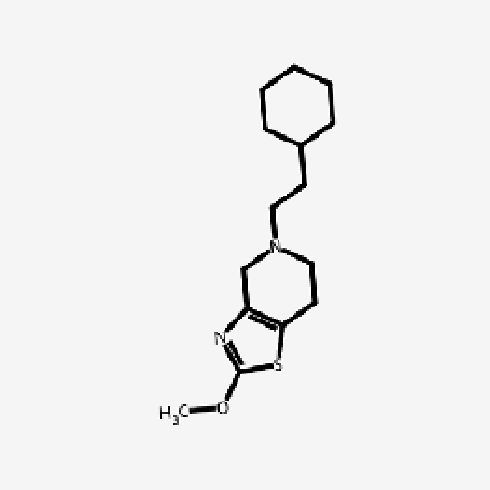 COc1nc2c(s1)CCN(CCC1CCCCC1)C2